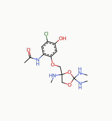 CNC1(COc2cc(O)c(Cl)cc2NC(C)=O)COC(NC)(NC)O1